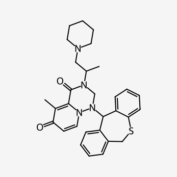 Cc1c2n(ccc1=O)N(C1c3ccccc3CSc3ccccc31)CN(C(C)CN1CCCCC1)C2=O